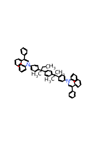 CCC(C)(c1ccc(N(C=C(c2ccccc2)c2ccccc2)c2ccccc2)cc1)c1ccc(C(C)(C)c2ccc(N(C=C(c3ccccc3)c3ccccc3)c3ccccc3)cc2)cc1